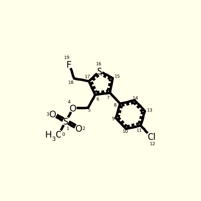 CS(=O)(=O)OCc1c(-c2ccc(Cl)cc2)csc1CF